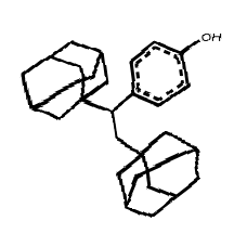 Oc1ccc(C(CC23CC4CC(CC(C4)C2)C3)C23CC4CC(CC(C4)C2)C3)cc1